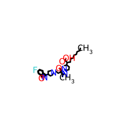 CCCCCCCCC(C(=O)O)C1CCc2nc(C)c(CCN3CCC(c4noc5cc(F)ccc45)CC3)c(=O)n2C1